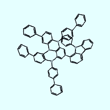 c1ccc(-c2ccc(N3c4ccc(-c5ccccc5)cc4B4c5cc(-c6ccccc6)ccc5N(c5ccc(-c6ccccc6)cc5)c5cc(-c6cccc7c8ccccc8n(-c8ccccc8)c67)cc3c54)cc2)cc1